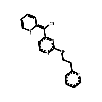 N#C/C(=C1\C=CC=CN1)c1ccnc(NCCc2ccccn2)n1